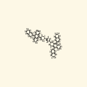 C1=CC(c2ccc(-c3ccc4c(-c5ccc6ccccc6c5)c5ccccc5c(-c5ccc6ccccc6c5)c4c3)s2)CC=C1c1c2ccccc2c(-c2ccc3ccccc3c2)c2ccccc12